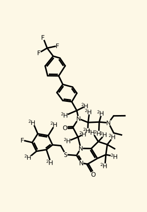 [2H]c1c([2H])c(CSc2nc(=O)c3c(n2C([2H])([2H])C(=O)N(C([2H])([2H])c2ccc(-c4ccc(C(F)(F)F)cc4)cc2)C([2H])([2H])C([2H])([2H])N(CC)CC)C([2H])([2H])C([2H])(C)C3([2H])[2H])c([2H])c([2H])c1F